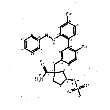 CS(=O)(=O)N[C@H]1CC[C@](Cc2ccc(F)c(-c3ccc(F)cc3OCc3ccccc3)c2)(C(N)=O)C1